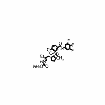 CC[C@@H](CNC(=O)OC)C[C@@H]1CCC(C)C1S(=O)(=O)c1cc(C(=O)Nc2cc(F)c(F)c(F)c2)ccc1Cl